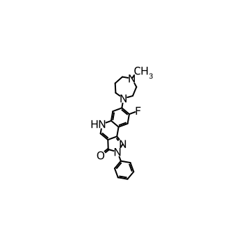 CN1CCCN(c2cc3[nH]cc4c(=O)n(-c5ccccc5)nc-4c3cc2F)CC1